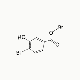 O=C(OBr)c1ccc(Br)c(O)c1